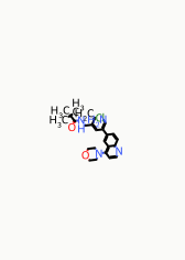 C=C(Cl)/C(=C\C(=C/N)c1ccc2nccc(N3CCOCC3)c2c1)CNC(=O)C(C)(C)C